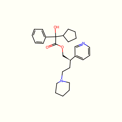 O=C(OC[C@H](CCN1CCCCC1)c1cccnc1)C(O)(c1ccccc1)C1CCCC1